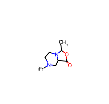 CC(C)N1CCN2C(C)OC(=O)C2C1